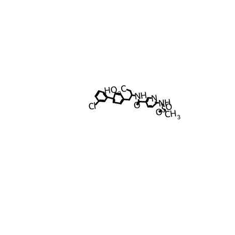 CS(=O)(=O)Nc1ccc(C(=O)NC(CC(=O)O)Cc2ccc(-c3cccc(Cl)c3)cc2)cn1